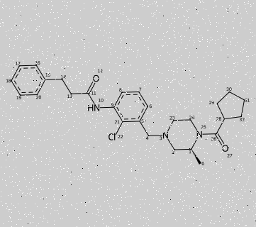 C[C@H]1CN(Cc2cccc(NC(=O)CCc3ccccc3)c2Cl)CCN1C(=O)C1CCCC1